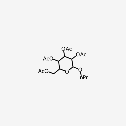 CCCOC1OC(COC(C)=O)C(OC(C)=O)C(OC(C)=O)C1OC(C)=O